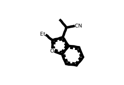 CCc1oc2ccccc2c1C(C)C#N